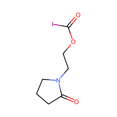 O=C(I)OCCN1CCCC1=O